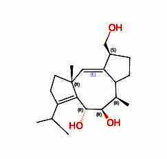 CC(C)C1=C2[C@@H](O)[C@H](O)[C@H](C)C3CC[C@H](CO)/C3=C/[C@@]2(C)CC1